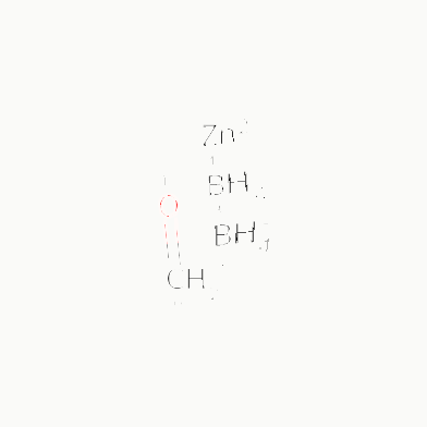 C=O.[BH4-].[BH4-].[Zn+2]